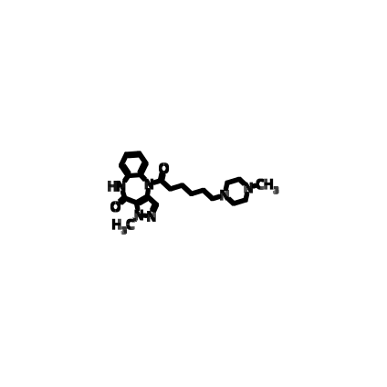 CN1CCN(CCCCCC(=O)N2c3ccccc3NC(=O)c3c2cnn3C)CC1